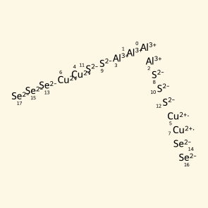 [Al+3].[Al+3].[Al+3].[Al+3].[Cu+2].[Cu+2].[Cu+2].[Cu+2].[S-2].[S-2].[S-2].[S-2].[S-2].[Se-2].[Se-2].[Se-2].[Se-2].[Se-2]